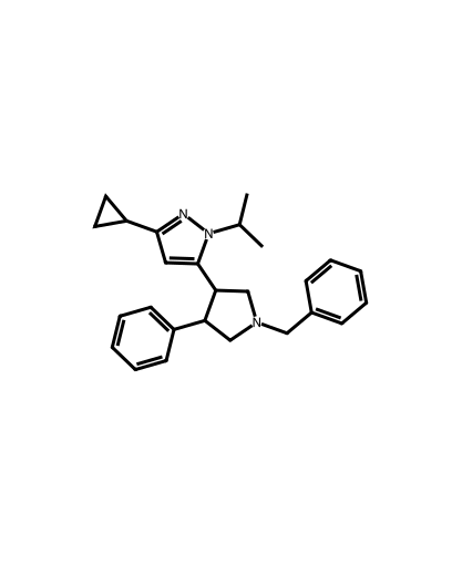 CC(C)n1nc(C2CC2)cc1C1CN(Cc2ccccc2)CC1c1ccccc1